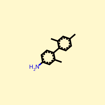 Cc1ccc(-c2ccc(N)cc2C)c(C)c1